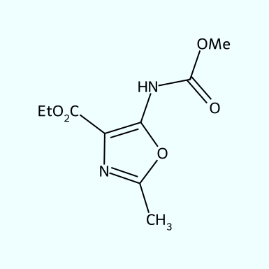 CCOC(=O)c1nc(C)oc1NC(=O)OC